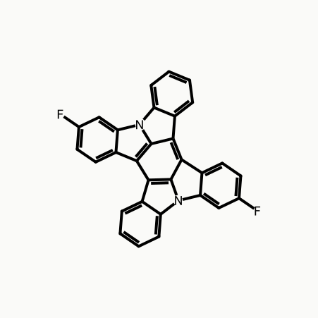 Fc1ccc2c3c4c5ccccc5n5c6cc(F)ccc6c(c6c7ccccc7n(c2c1)c63)c45